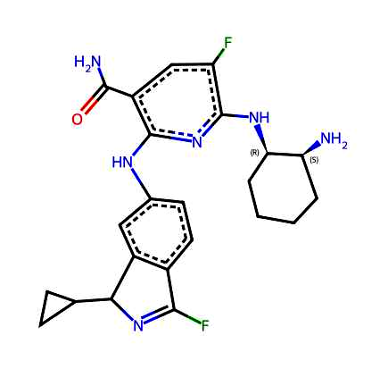 NC(=O)c1cc(F)c(N[C@@H]2CCCC[C@@H]2N)nc1Nc1ccc2c(c1)C(C1CC1)N=C2F